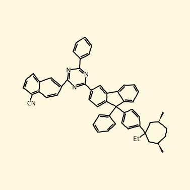 CCC1(c2ccc(C3(c4ccccc4)c4ccccc4-c4cc(-c5nc(-c6ccccc6)nc(-c6ccc7c(C#N)cccc7c6)n5)ccc43)cc2)C[C@H](C)CC[C@H](C)C1